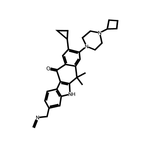 C=NCc1ccc2c3c([nH]c2c1)C(C)(C)c1cc(N2CCN(C4CCC4)CC2)c(C2CC2)cc1C3=O